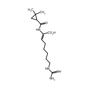 CC1(C)CC1C(=O)N/C(=C/CCCCCNC(=N)N)C(=O)O